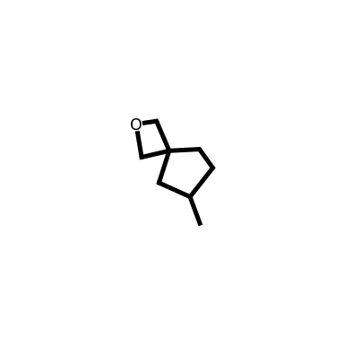 CC1CCC2(COC2)C1